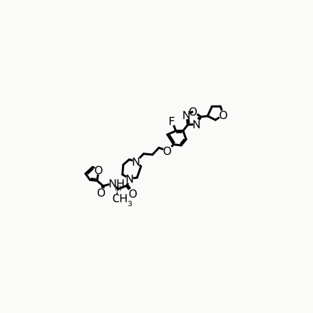 C[C@H](NC(=O)c1ccco1)C(=O)N1CCCN(CCCOc2ccc(-c3noc(C4CCOC4)n3)c(F)c2)CC1